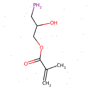 C=C(C)C(=O)OCC(O)CP